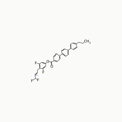 CCCc1ccc(-c2ccc(-c3ccc(C(=O)Oc4cc(F)c(C/C=C/C(F)F)c(F)c4)cc3)cc2)cc1